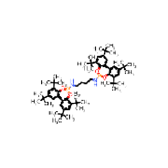 CC(C)(C)c1cc(C(C)(C)C)c2op(NCCCCNp3oc4c(C(C)(C)C)cc(C(C)(C)C)cc4c4cc(C(C)(C)C)cc(C(C)(C)C)c4o3)oc3c(C(C)(C)C)cc(C(C)(C)C)cc3c2c1